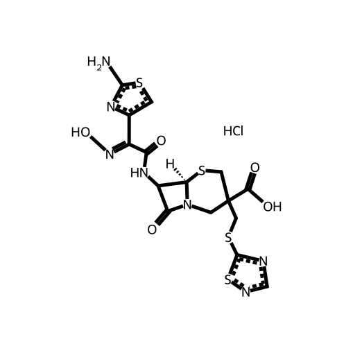 Cl.Nc1nc(C(=NO)C(=O)NC2C(=O)N3CC(CSc4ncns4)(C(=O)O)CS[C@H]23)cs1